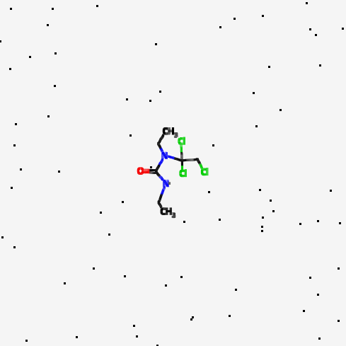 CC[N]C(=O)N(CC)C(Cl)(Cl)CCl